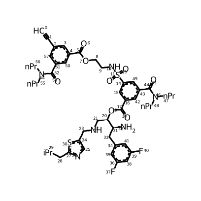 C#Cc1cc(C(=O)OCCNS(=O)(=O)c2cc(C(=O)O[C@H](CNCc3cnc(CC(C)C)s3)[C@@H](N)Cc3cc(F)cc(F)c3)cc(C(=O)N(CCC)CCC)c2)cc(C(=O)N(CCC)CCC)c1